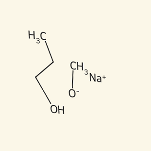 CCCO.C[O-].[Na+]